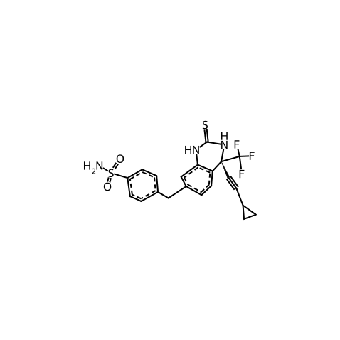 NS(=O)(=O)c1ccc(Cc2ccc3c(c2)NC(=S)N[C@]3(C#CC2CC2)C(F)(F)F)cc1